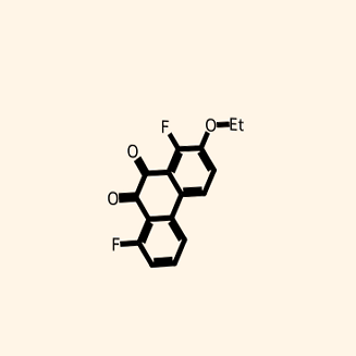 CCOc1ccc2c(c1F)C(=O)C(=O)c1c(F)cccc1-2